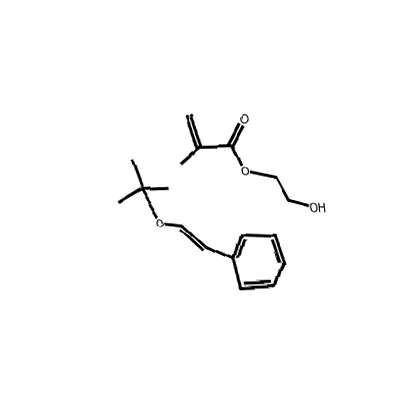 C=C(C)C(=O)OCCO.CC(C)(C)OC=Cc1ccccc1